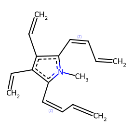 C=C/C=C\c1c(C=C)c(C=C)c(/C=C\C=C)n1C